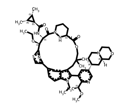 CCO[C@@H]1c2nc(cs2)-c2ccc3c(c2)c(c(-c2cc([C@@H]4CCN5CCOC[C@H]5C4)cnc2[C@H](C)OC)n3CC)CC(C)(C)COC(=O)[C@@H]2CCCN(N2)C(=O)[C@H]1NC(=O)[C@H]1[C@H](C)[C@@H]1C